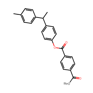 COC(=O)c1ccc(C(=O)Oc2ccc(C(C)c3ccc(C)cc3)cc2)cc1